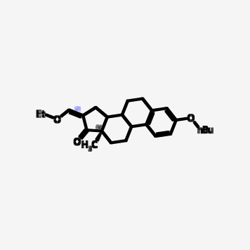 CCCCOc1ccc2c(c1)CCC1C2CC[C@]2(C)C(=O)/C(=C\OCC)CC12